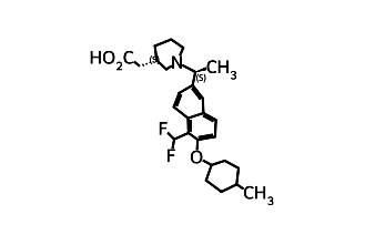 CC1CCC(Oc2ccc3cc([C@H](C)N4CCC[C@@H](CC(=O)O)C4)ccc3c2C(F)F)CC1